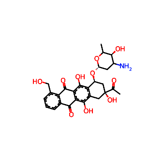 CC(=O)[C@]1(O)Cc2c(O)c3c(c(O)c2[C@@H](O[C@H]2CC(N)[C@H](O)C(C)O2)C1)C(=O)c1c(CO)cccc1C3=O